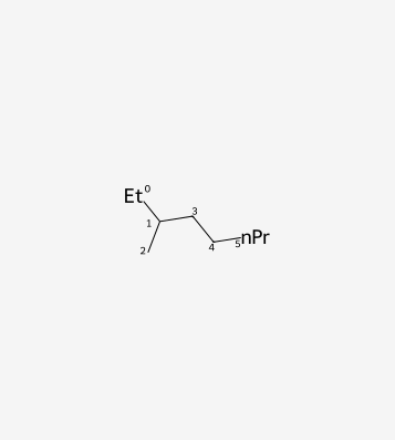 [CH2]CC(C)CCCCC